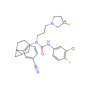 N#Cc1cccc(C23CCC(N(CCCN4CC[C@@H](F)C4)C(=O)Nc4ccc(F)c(Cl)c4)CC2C3)c1